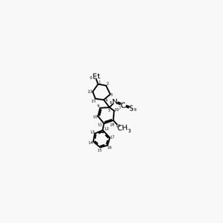 CCC1CCC(C2(N=C=S)C=CC(c3ccccc3)=C(C)C2)CC1